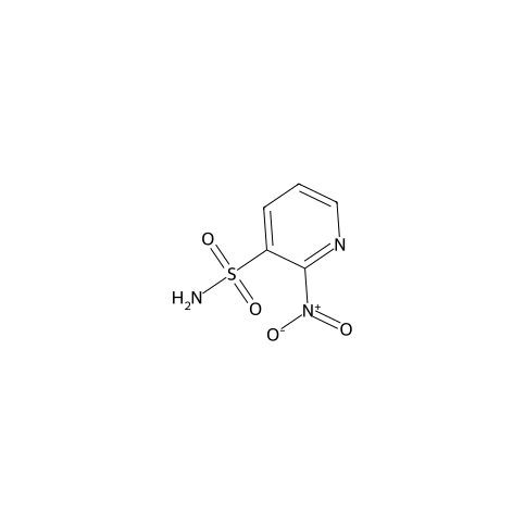 NS(=O)(=O)c1cccnc1[N+](=O)[O-]